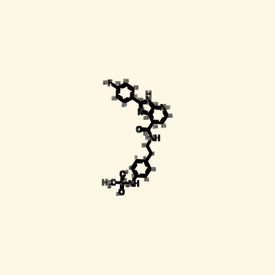 CS(=O)(=O)Nc1ccc(CCNC(=O)c2ccnc3[nH]c(-c4ccc(F)cc4)nc23)cc1